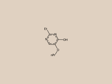 CCCOc1cnc(CC)nc1O